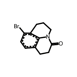 O=C1CCc2ccc(Br)c3c2N1CCC3